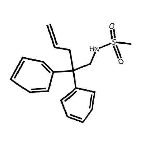 C=CCC(CNS(C)(=O)=O)(c1ccccc1)c1ccccc1